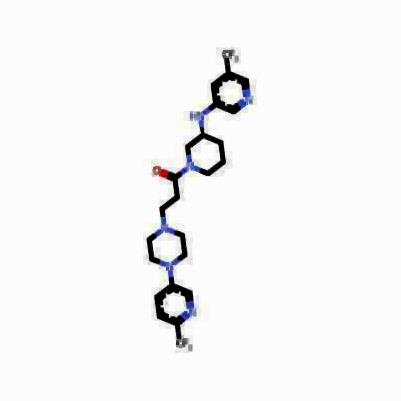 O=C(CCN1CCN(c2ccc(C(F)(F)F)nc2)CC1)N1CCC[C@H](Nc2cncc(C(F)(F)F)c2)C1